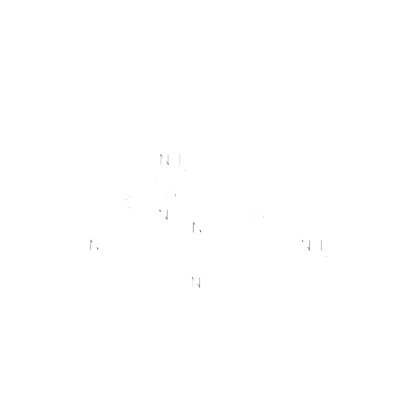 CCc1c(C#N)c(SC(C(N)=O)c2ccccc2)nc(N2CCC(OCCN)CC2)c1C#N